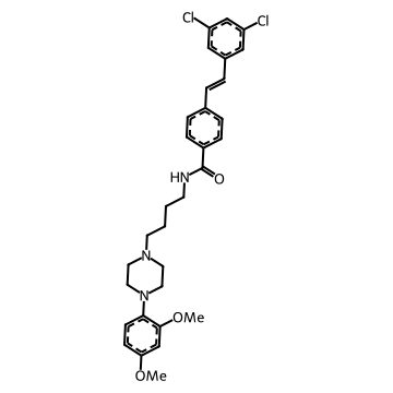 COc1ccc(N2CCN(CCCCNC(=O)c3ccc(/C=C/c4cc(Cl)cc(Cl)c4)cc3)CC2)c(OC)c1